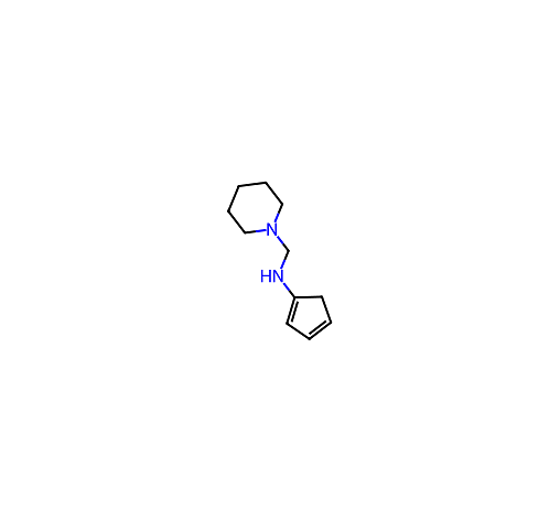 C1=CCC(NCN2CCCCC2)=C1